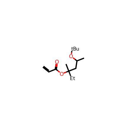 C=CC(=O)OC(C)(CC)CC(C)OC(C)(C)C